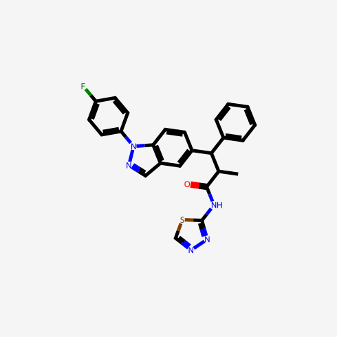 CC(C(=O)Nc1nncs1)C(c1ccccc1)c1ccc2c(cnn2-c2ccc(F)cc2)c1